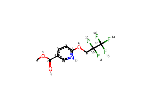 COC(=O)c1ccc(OCC(F)(F)C(F)(F)F)nc1